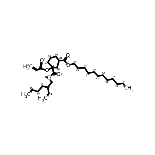 C=CC(=O)OC1(C(=O)OCC(CC)CCCC)CCCC(C(=O)OCCCCCCCCCCCC)C1